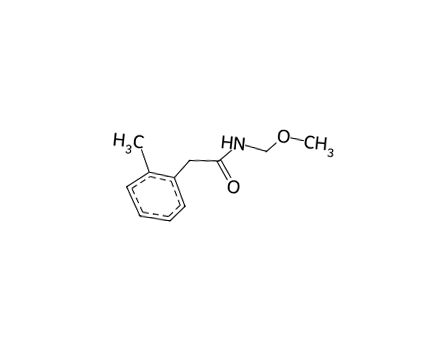 COCNC(=O)Cc1ccccc1C